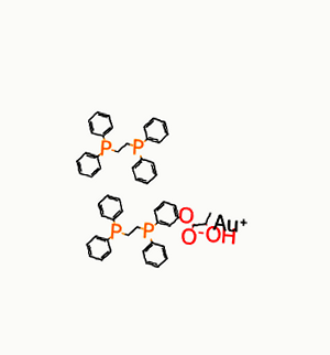 CC(O)C(=O)[O-].[Au+].c1ccc(P(CCP(c2ccccc2)c2ccccc2)c2ccccc2)cc1.c1ccc(P(CCP(c2ccccc2)c2ccccc2)c2ccccc2)cc1